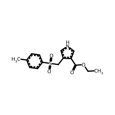 CCOC(=O)c1c[nH]cc1CS(=O)(=O)c1ccc(C)cc1